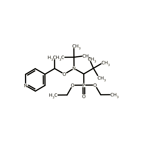 CCOP(=O)(OCC)C(N(OC(C)c1ccncc1)C(C)(C)C)C(C)(C)C